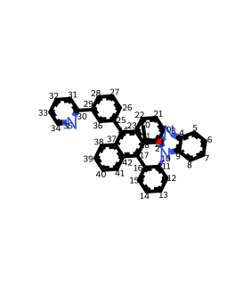 CCc1nc2ccccc2n1-c1ccccc1-c1c2ccccc2c(-c2cccc(-c3ccccn3)c2)c2ccccc12